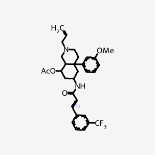 C=CCN1CCC2(c3cccc(OC)c3)CC(NC(=O)/C=C/c3cccc(C(F)(F)F)c3)CC(OC(C)=O)C2C1